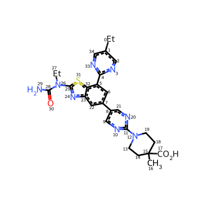 CCc1cnc(-c2cc(-c3cnc(N4CCC(C)(C(=O)O)CC4)nc3)cc3nc(N(CC)C(N)=O)sc23)nc1